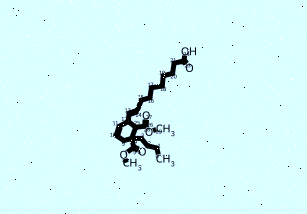 CCCCC1(C(=O)OC)CC=CC(C=CCCCCCCCC(=O)O)C1C(=O)OC